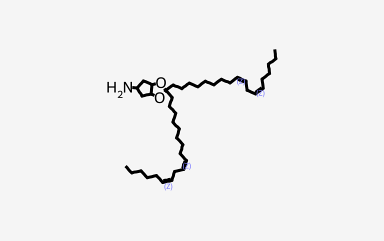 CCCCC/C=C\C/C=C\CCCCCCCCC1(CCCCCCCC/C=C\C/C=C\CCCCC)OC2CC(N)CC2O1